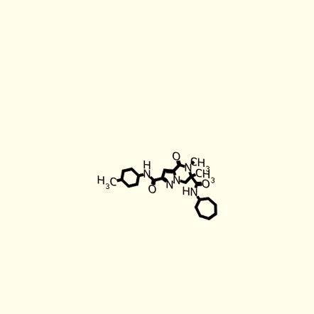 CC1CCC(NC(=O)c2cc3n(n2)CC(C)(C(=O)NC2CCCCCC2)N(C)C3=O)CC1